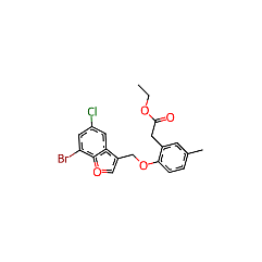 CCOC(=O)Cc1cc(C)ccc1OCc1coc2c(Br)cc(Cl)cc12